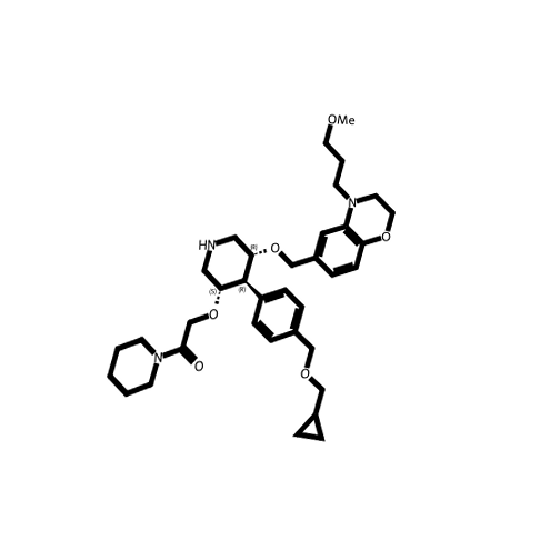 COCCCN1CCOc2ccc(CO[C@H]3CNC[C@@H](OCC(=O)N4CCCCC4)[C@@H]3c3ccc(COCC4CC4)cc3)cc21